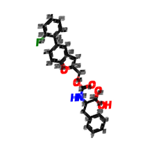 O=C(NC(Cc1ccccc1)C(=O)O)OCc1cc2cc(-c3ccccc3F)ccc2o1